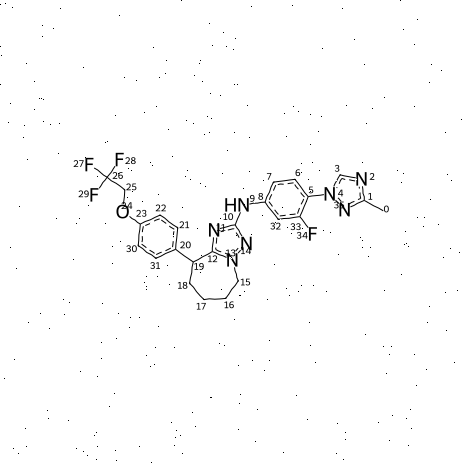 Cc1ncn(-c2ccc(Nc3nc4n(n3)CCCCC4c3ccc(OCC(F)(F)F)cc3)cc2F)n1